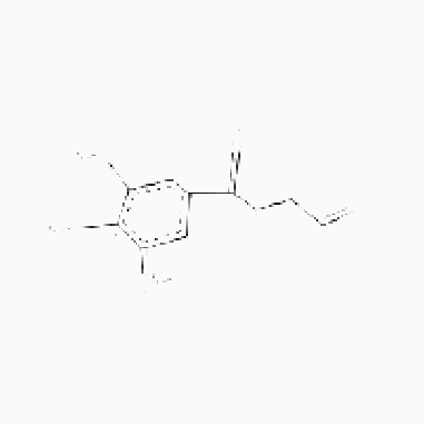 C=CCCC(=O)c1cc(OC)c(OC)c(OC)c1